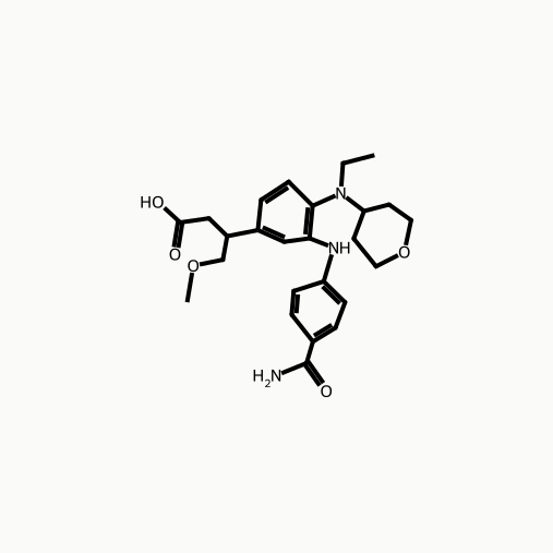 CCN(c1ccc(C(COC)CC(=O)O)cc1Nc1ccc(C(N)=O)cc1)C1CCOCC1